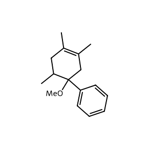 COC1(c2ccccc2)CC(C)=C(C)CC1C